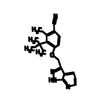 Cc1c(C#N)ccc(OCc2n[nH]c3ncccc23)c1C(C)(C)C